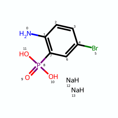 Nc1ccc(Br)cc1P(=O)(O)O.[NaH].[NaH]